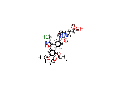 COc1cc(-c2oncc2-c2cccc(N(OC)C(=O)NCCCC(=O)O)c2)cc(OC)c1OC.Cl